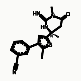 Cc1sc([C@]2(C)CC(=O)N(C)C(=N)N2)cc1-c1cccc(C#N)c1